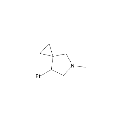 CCC1CN(C)CC12CC2